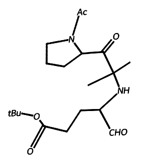 CC(=O)N1CCCC1C(=O)C(C)(C)NC(C=O)CCC(=O)OC(C)(C)C